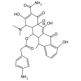 CC1c2cccc(O)c2C(=O)C2=C(O)C3(O)C(=O)C(C(N)=O)=C(O)C(N(C)C)C3C(OC(=O)Cc3ccc(N)cc3)C21